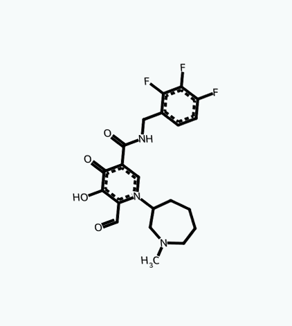 CN1CCCCC(n2cc(C(=O)NCc3ccc(F)c(F)c3F)c(=O)c(O)c2C=O)C1